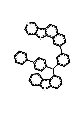 c1ccc(-c2ccc(N(c3cccc(-c4ccc5ccc6c7cnccc7oc6c5c4)c3)c3cccc4oc5ccccc5c34)cc2)cc1